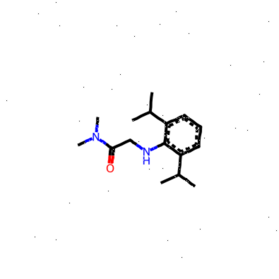 CC(C)c1cccc(C(C)C)c1NCC(=O)N(C)C